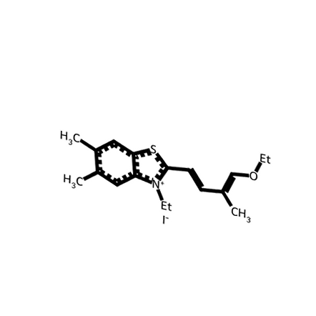 CCOC=C(C)C=Cc1sc2cc(C)c(C)cc2[n+]1CC.[I-]